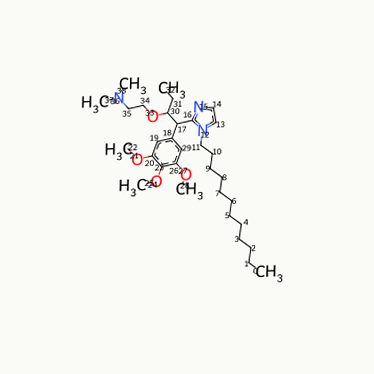 CCCCCCCCCCCCn1ccnc1C(c1cc(OC)c(OC)c(OC)c1)C(CC)OCCN(C)C